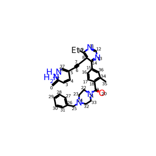 C=C(N)/C=C\C(C#Cc1c(CC)ncnc1-c1ccc(C(=O)N2CCN(Cc3ccccc3)CC2)c(C)c1)=C/N